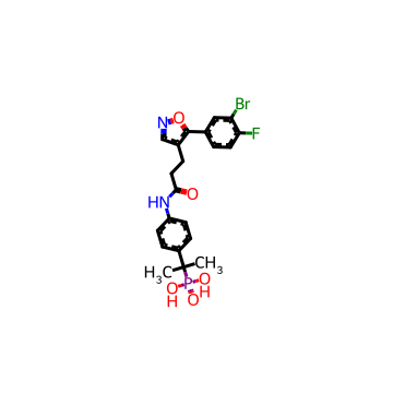 CC(C)(c1ccc(NC(=O)CCc2cnoc2-c2ccc(F)c(Br)c2)cc1)P(=O)(O)O